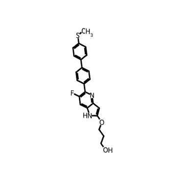 CSc1ccc(-c2ccc(-c3nc4cc(OCCCO)[nH]c4cc3F)cc2)cc1